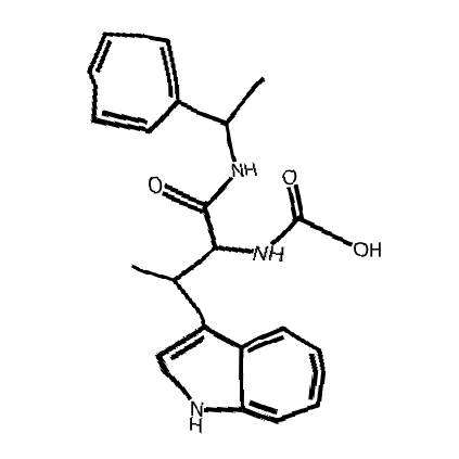 CC(NC(=O)C(NC(=O)O)C(C)c1c[nH]c2ccccc12)c1ccccc1